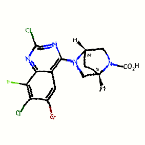 O=C(O)N1C[C@@H]2C[C@H]1CN2c1nc(Cl)nc2c(F)c(Cl)c(Br)cc12